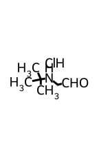 CC(C)(C)NCC=O.Cl